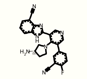 N#Cc1cc(-c2cncc(-c3nc4c(C#N)cccc4[nH]3)c2N2CC[C@H](N)C2)ccc1F